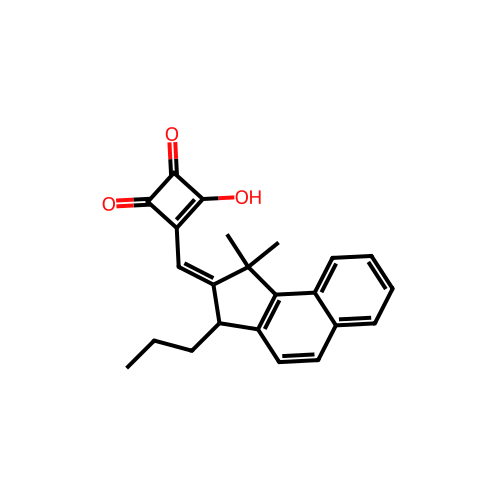 CCCC1C(=Cc2c(O)c(=O)c2=O)C(C)(C)c2c1ccc1ccccc21